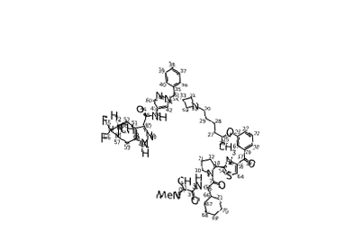 CN[C@@H](C)C(=O)N[C@H](C(=O)N1CCC[C@H]1c1nc(C(=O)c2cccc(OC(C)CCCCN3CC([C@@H](c4ccccc4)n4cc(NC(=O)c5n[nH]c6c5C[C@@H]5C(F)(F)[C@]5(C)C6)cn4)C3)c2)cs1)C1CCCCC1